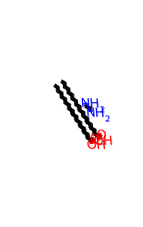 CCCCCCCCCC=CC=CC=CC=CC=CC(=O)O.CCCCCCCCCC=CC=CC=CC=CC=CC(=O)O.NCCN